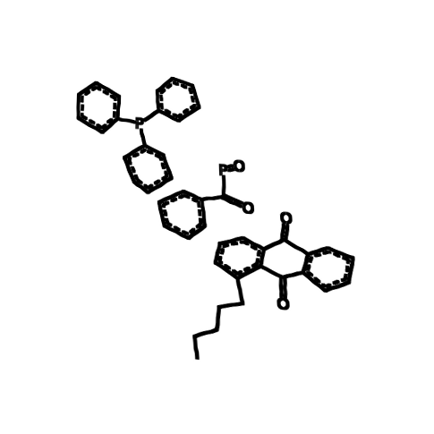 CCCCCc1cccc2c1C(=O)c1ccccc1C2=O.O=PC(=O)c1ccccc1.c1ccc(P(c2ccccc2)c2ccccc2)cc1